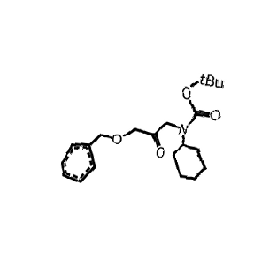 CC(C)(C)OC(=O)N(CC(=O)COCc1ccccc1)C1CCCCC1